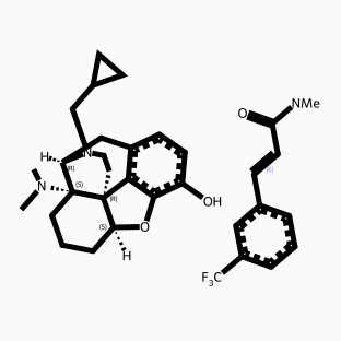 CN(C)[C@@]12CCC[C@@H]3Oc4c(O)ccc5c4[C@@]31CCN(CC1CC1)[C@@H]2C5.CNC(=O)/C=C/c1cccc(C(F)(F)F)c1